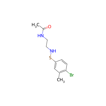 CC(=O)NCCNSc1ccc(Br)c(C)c1